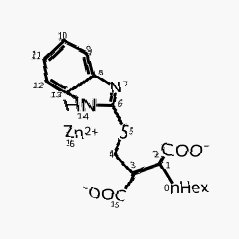 CCCCCCC(C(=O)[O-])C(CSc1nc2ccccc2[nH]1)C(=O)[O-].[Zn+2]